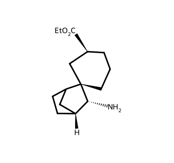 CCOC(=O)[C@H]1CCC[C@]2(C1)C1CC[C@H](C1)[C@H]2N